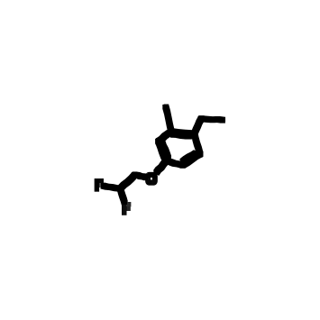 CCc1ccc(OCC(F)F)cc1C